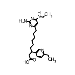 CCNc1cc(CCCCCCC(CC(=O)O)c2ccc(CC)nc2)nc(N)n1